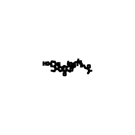 CCc1c2c(nc3ccc(O)cc13)-c1cc3c(c(=O)n1C2)COC(=O)[C@@]3(CC)OC(=O)CC(C)(C)SSCCC(=O)C(C)C